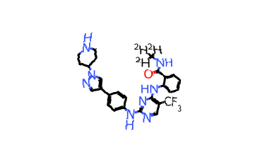 [2H]C([2H])([2H])NC(=O)c1ccccc1Nc1nc(Nc2ccc(-c3cnn(C4CCNCC4)c3)cc2)ncc1C(F)(F)F